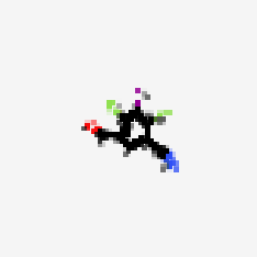 N#Cc1cc(C=O)c(F)c(I)c1F